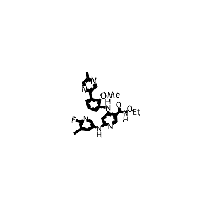 CCONC(=O)c1cnc(Nc2cnc(F)c(C)c2)cc1Nc1cccc(-c2cnc(C)cn2)c1OC